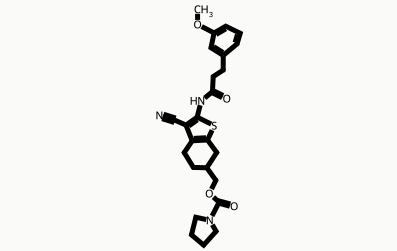 COc1cccc(CCC(=O)Nc2sc3c(c2C#N)CCC(COC(=O)N2CCCC2)C3)c1